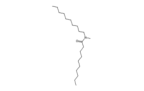 CCCCCCCCCCN(C)C(=O)CCCCCCCCC